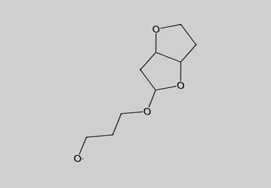 [O]CCCOC1CC2OCCC2O1